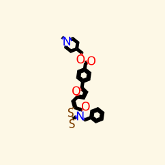 CN1CCC(COC(=O)c2ccc(-c3ccc(/C=C4/SC(=S)N(Cc5ccccc5)C4=O)o3)cc2)CC1